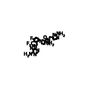 Nc1nccc(CNC(=O)[C@@]2(N)CCN(c3ccc(F)c(C(F)(F)F)c3Cn3cnc4c(N)ncnc43)C2)n1